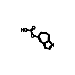 O=C(O)Oc1cccc2nccc-2c1